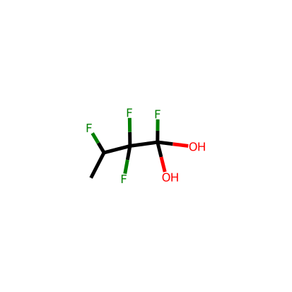 CC(F)C(F)(F)C(O)(O)F